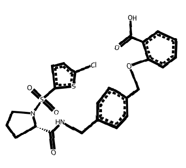 O=C(O)c1ccccc1OCc1ccc(CNC(=O)[C@@H]2CCCN2S(=O)(=O)c2ccc(Cl)s2)cc1